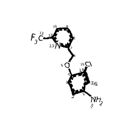 Nc1ccc(OCc2cccc(C(F)(F)F)n2)c(Cl)c1